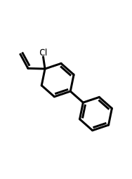 C=CC1(Cl)C=CC(c2ccccc2)=CC1